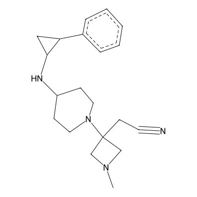 CN1CC(CC#N)(N2CCC(NC3CC3c3ccccc3)CC2)C1